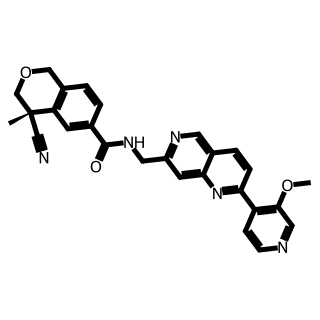 COc1cnccc1-c1ccc2cnc(CNC(=O)c3ccc4c(c3)[C@](C)(C#N)COC4)cc2n1